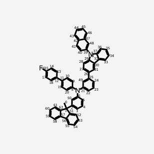 CC1(c2cccc(N(c3ccc(-c4ccc(F)cc4)cc3)c3cccc(-c4ccc5c(c4)c4ccccc4n5-c4ccc5ccccc5c4)c3)c2)c2ccccc2-c2ccccc21